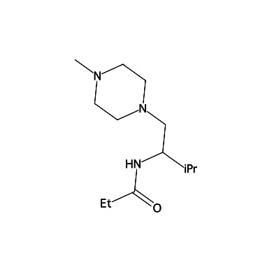 CCC(=O)NC(CN1CCN(C)CC1)C(C)C